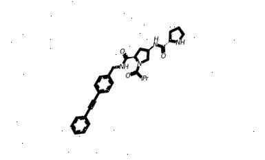 CC(C)C(=O)N1C[C@H](NC(=O)[C@@H]2CCCN2)C[C@@H]1C(=O)NCc1ccc(C#Cc2ccccc2)cc1